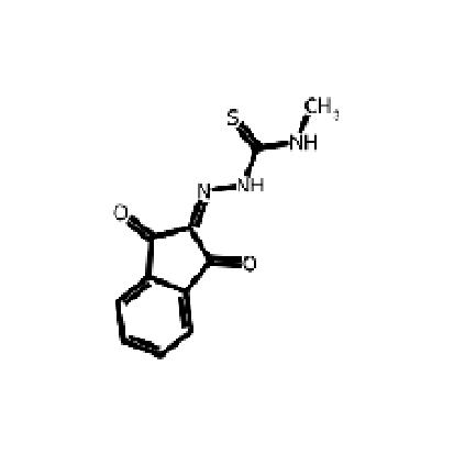 CNC(=S)NN=c1c(=O)c2ccccc2c1=O